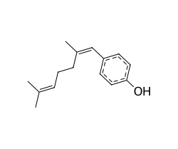 CC(C)=CCC/C(C)=C\c1ccc(O)cc1